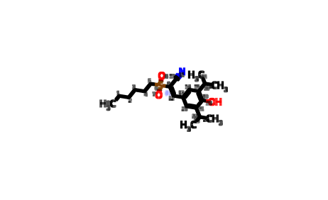 CCCCCCS(=O)(=O)/C(C#N)=C/c1cc(C(C)C)c(O)c(C(C)C)c1